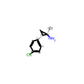 CC[C@@]1(N)C[C@H]1c1ccc(Cl)cc1